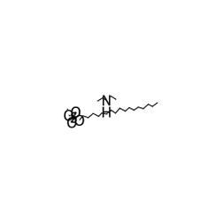 CCCCCCCCCCCCCCCCCOS(=O)(=O)OC.CCNCC